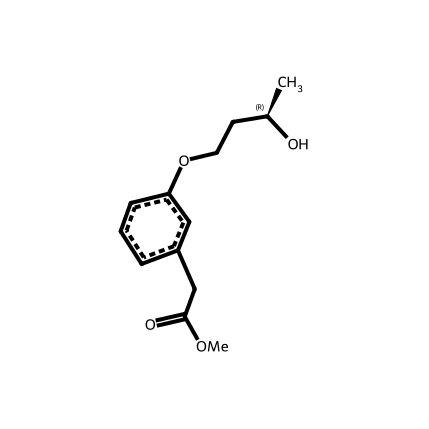 COC(=O)Cc1cccc(OCC[C@@H](C)O)c1